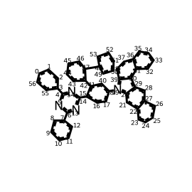 c1ccc(-c2nc(-c3ccccc3)nc(-c3ccc(-n4c5cc6ccccc6cc5c5c6ccccc6ccc54)cc3-c3ccccc3-c3ccccc3)n2)cc1